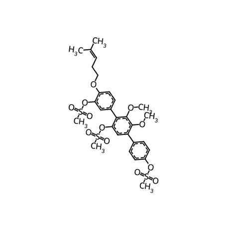 COc1c(-c2ccc(OS(C)(=O)=O)cc2)cc(OS(C)(=O)=O)c(-c2ccc(OCCC=C(C)C)c(OS(C)(=O)=O)c2)c1OC